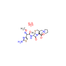 CO/N=C(\C(=O)N[C@@H]1C(=O)N2C(C(=O)[O-])=C(C[N+]3(C)CCCC3)CS[C@H]12)c1csc(N)n1.O.O